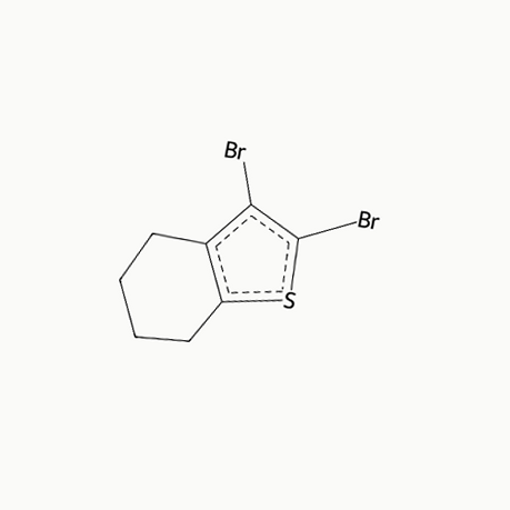 Brc1sc2c(c1Br)CCCC2